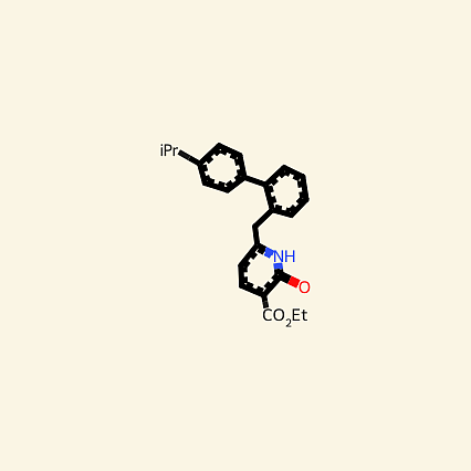 CCOC(=O)c1ccc(Cc2ccccc2-c2ccc(C(C)C)cc2)[nH]c1=O